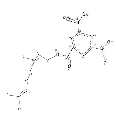 CC(C)=CCCC(C)=CCOC(=O)c1cc([N+](=O)[O-])cc([N+](=O)[O-])c1